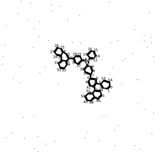 c1ccc(-c2cc(-c3ccc(N(c4ccccc4)c4ccc(-c5cc6ccccc6c6ccccc56)cc4)cc3)ccc2-c2cccc3ccccc23)cc1